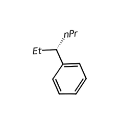 [CH2]CC[C@@H](CC)c1ccccc1